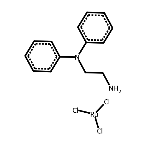 NCCN(c1ccccc1)c1ccccc1.[Cl][Ru]([Cl])[Cl]